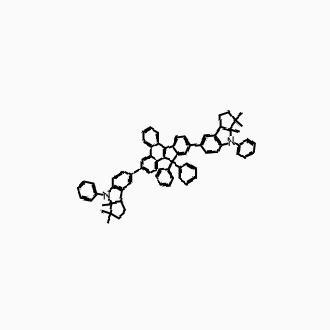 CC1(C)CCC2c3cc(-c4ccc5c(c4)C(c4ccccc4)(c4ccccc4)c4c-5c5ccccc5c5cc(-c6ccc7c(c6)C6CCC(C)(C)C6(C)N7c6ccccc6)ccc45)ccc3N(c3ccccc3)C21C